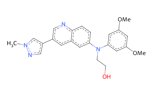 COc1cc(OC)cc(N(CCO)c2ccc3ncc(-c4cnn(C)c4)cc3c2)c1